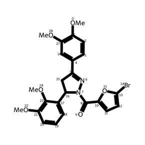 COc1ccc(C2=NN(C(=O)c3ccc(Br)o3)C(c3cccc(OC)c3OC)C2)cc1OC